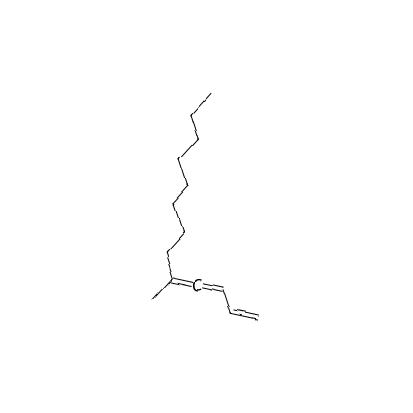 C=CC=C=C(C)CCCCCCCC